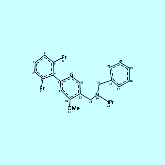 CCc1cccc(CC)c1-c1cc(OC)c(CN(Cc2ccccc2)C(C)C)cn1